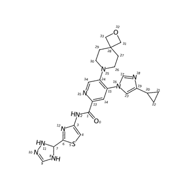 O=C(Nc1csc(C2NC=NN2)n1)c1cc(-n2cnc(C3CC3)c2)c(N2CCC3(CC2)COC3)cn1